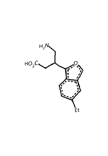 CCc1ccc2c(C(CN)CC(=O)O)occ2c1